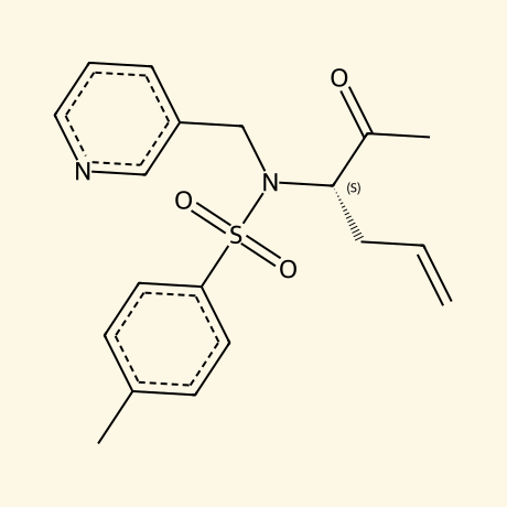 C=CC[C@@H](C(C)=O)N(Cc1cccnc1)S(=O)(=O)c1ccc(C)cc1